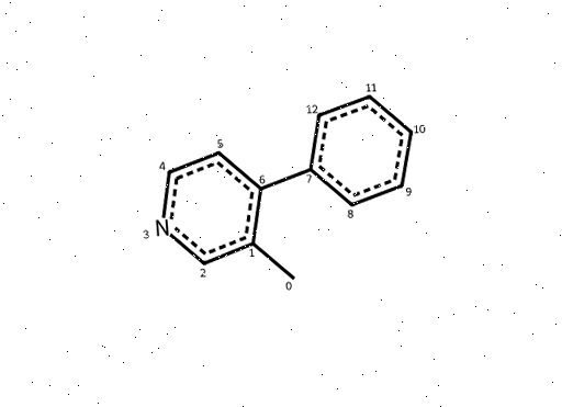 Cc1cnccc1-c1ccccc1